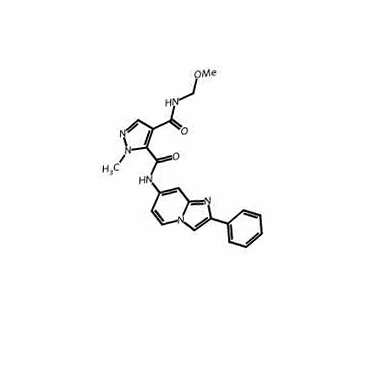 COCNC(=O)c1cnn(C)c1C(=O)Nc1ccn2cc(-c3ccccc3)nc2c1